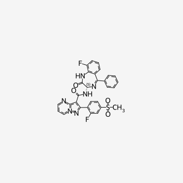 CS(=O)(=O)c1ccc(-c2nn3cccnc3c2C(=O)N[C@H]2N=C(c3ccccc3)c3cccc(F)c3NC2=O)c(F)c1